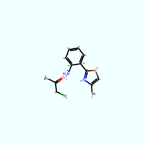 CC(C)C(=O)CBr.CC(C)c1csc(-c2ccccc2N)n1